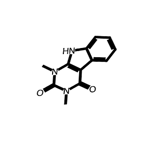 Cn1c(=O)c2c3ccccc3[nH]c2n(C)c1=O